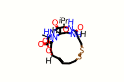 CC(C)[C@H]1NC(=O)[C@H]2CSSCC/C=C/[C@H](CC(=O)N[C@H](C)C(=O)N2)OC(=O)[C@@H](C)NC1=O